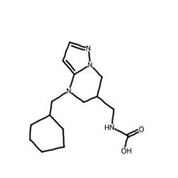 O=C(O)NCC1CN(CC2CCCCC2)c2ccnn2C1